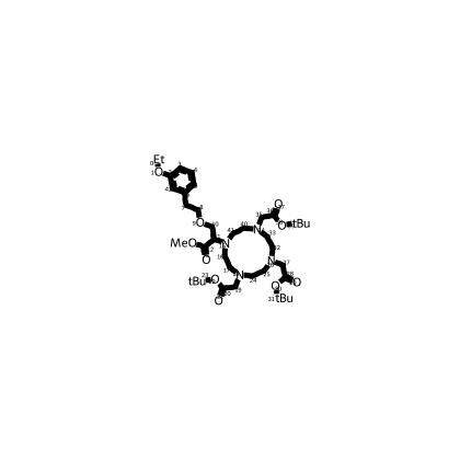 CCOc1cccc(CCOCC(C(=O)OC)N2CCN(CC(=O)OC(C)(C)C)CCN(CC(=O)OC(C)(C)C)CCN(CC(=O)OC(C)(C)C)CC2)c1